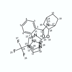 O=C(c1ccccc1-n1nccn1)N1C2CCC1C(Oc1ncc(C(F)(F)F)cn1)C2